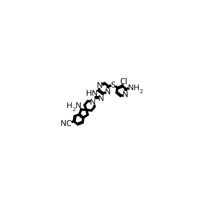 N#Cc1ccc2c(c1)[C@@H](N)C1(CCN(c3nc4nc(Sc5ccnc(N)c5Cl)cnc4[nH]3)CC1)C2